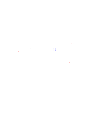 CC(C)(C)OC(=O)N1CCCC(=O)C(c2ccccc2)C1